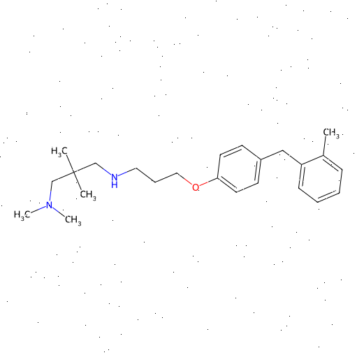 Cc1ccccc1Cc1ccc(OCCCNCC(C)(C)CN(C)C)cc1